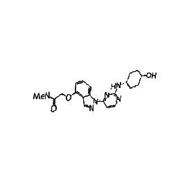 CNC(=O)COc1cccc2c1cnn2-c1ccnc(N[C@H]2CC[C@H](O)CC2)n1